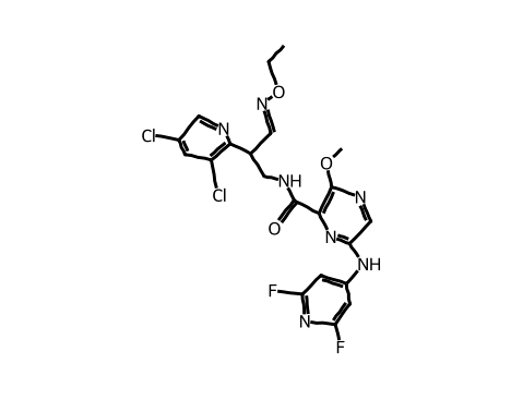 CCO/N=C/C(CNC(=O)c1nc(Nc2cc(F)nc(F)c2)cnc1OC)c1ncc(Cl)cc1Cl